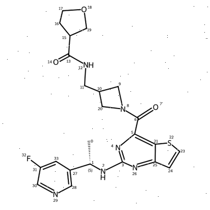 C[C@H](Nc1nc(C(=O)N2CC(CNC(=O)C3CCOC3)C2)c2sccc2n1)c1cncc(F)c1